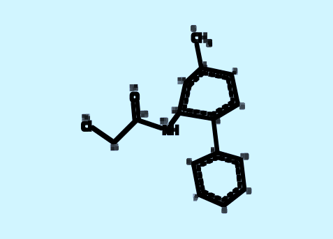 Cc1ccc(-c2ccccc2)c(NC(=O)CCl)c1